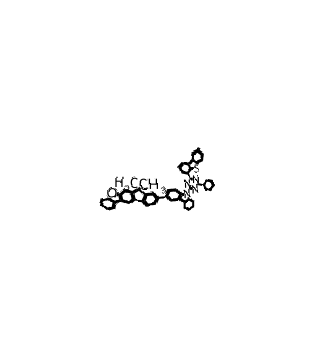 CC1(C)c2cc(-c3ccc4c(c3)c3ccccc3n4-c3nc(-c4ccccc4)nc(-c4cccc5c4sc4ccccc45)n3)ccc2-c2cc3c(cc21)oc1ccccc13